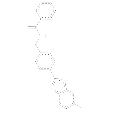 Cc1ccc2nc(-c3ccc(CNC(=O)c4ccccc4)cc3)oc2c1